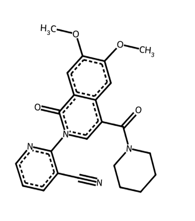 COc1cc2c(C(=O)N3CCCCC3)cn(-c3ncccc3C#N)c(=O)c2cc1OC